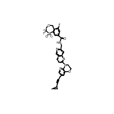 O=C(NCc1cc2nc(N3CCOc4cc(C#CC5CC5)cnc43)ccc2cn1)c1cc(F)c2c(c1)S(=O)(=O)[C@@H](F)COC2